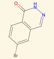 O=c1[nH]ncc2cc(Br)ccc12